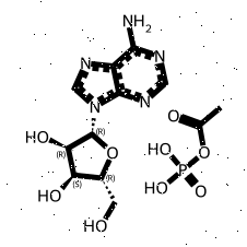 CC(=O)OP(=O)(O)O.Nc1ncnc2c1ncn2[C@@H]1O[C@H](CO)[C@@H](O)[C@H]1O